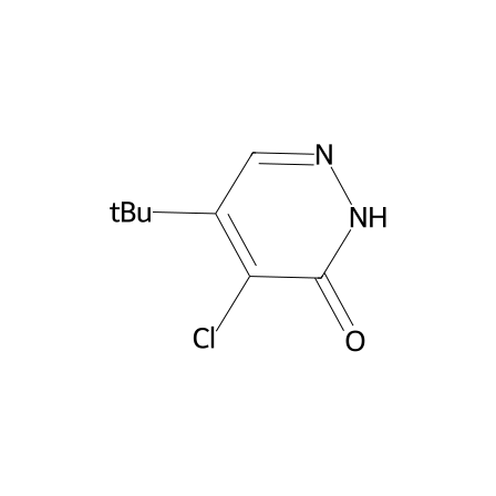 CC(C)(C)c1cn[nH]c(=O)c1Cl